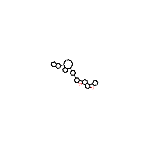 c1cccc(-c2ccc3ccccc3c2)c2ccccc2c(-c2ccc(-c3ccc4oc5c(ccc6c5ccc5oc7ccccc7c56)c4c3)cc2)cc1